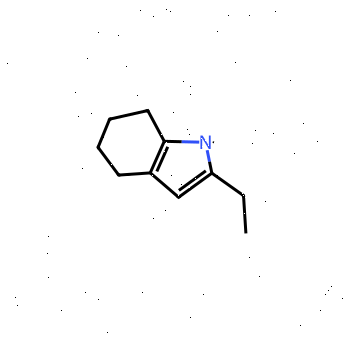 CCC1=CC2=C(CCCC2)[N]1